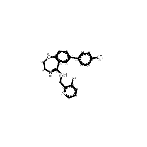 Fc1cccnc1CNC1=NCCOc2ccc(-c3ccc(C(F)(F)F)cc3)cc21